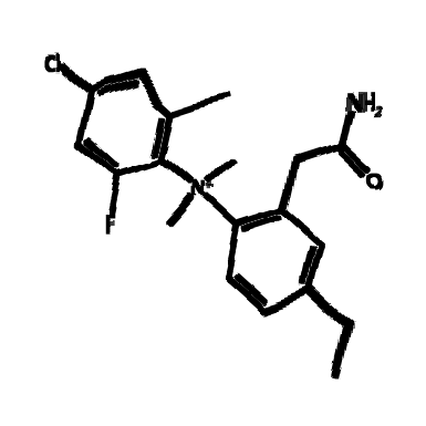 CCc1ccc([N+](C)(C)c2c(C)cc(Cl)cc2F)c(CC(N)=O)c1